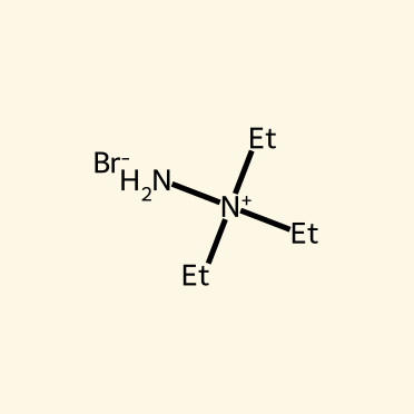 CC[N+](N)(CC)CC.[Br-]